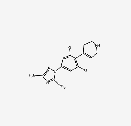 Nc1nc(N)n(-c2cc(Cl)c(C3=CCNCC3)c(Cl)c2)n1